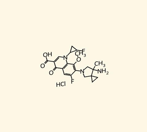 COc1c(N2CC(C)(N)C3(CC3)C2)c(F)cc2c(=O)c(C(=O)O)cn(C3CC3F)c12.Cl